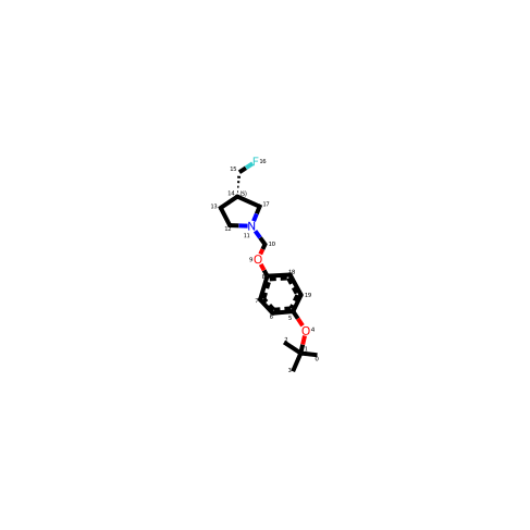 CC(C)(C)Oc1ccc(OCN2CC[C@H](CF)C2)cc1